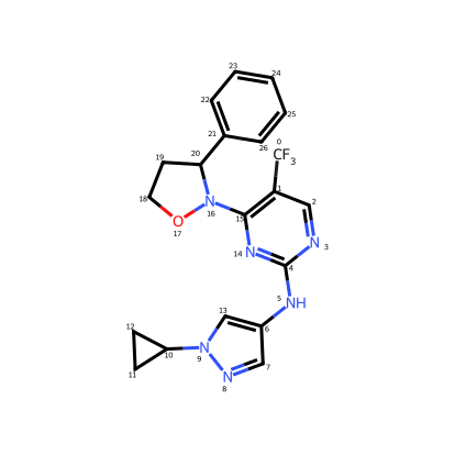 FC(F)(F)c1cnc(Nc2cnn(C3CC3)c2)nc1N1OCCC1c1ccccc1